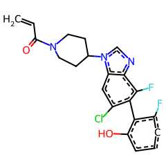 C=CC(=O)N1CCC(n2cnc3c(F)c(-c4c(O)cccc4F)c(Cl)cc32)CC1